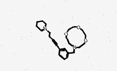 C(#Cc1cccc(CN2CCOCCOCCOCC2)c1)CCN1CCCCC1